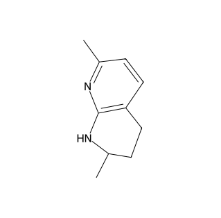 Cc1ccc2c(n1)NC(C)CC2